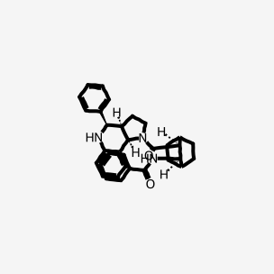 O=C(N[C@@H]1C2CCC(CC2)[C@@H]1C(=O)N1CC[C@@H]2[C@H](c3ccccc3)Nc3ccccc3[C@@H]21)c1ccccc1